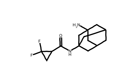 NC12CC3CC(C1)CC(NC(=O)C1CC1(F)F)(C3)C2